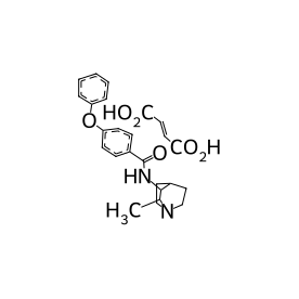 CC1C(NC(=O)c2ccc(Oc3ccccc3)cc2)C2CCN1CC2.O=C(O)C=CC(=O)O